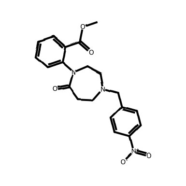 COC(=O)c1ccccc1N1CCN(Cc2ccc([N+](=O)[O-])cc2)CCC1=O